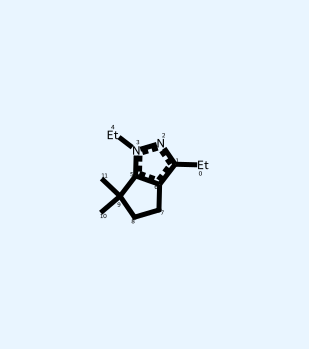 CCc1nn(CC)c2c1CCC2(C)C